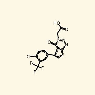 O=C(O)Cn1nnc2scc(-c3ccc(Cl)c(C(F)(F)F)c3)c2c1=O